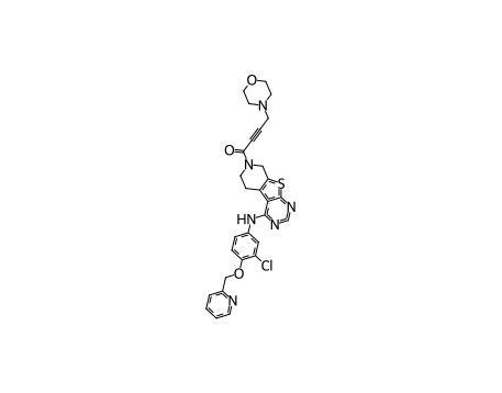 O=C(C#CCN1CCOCC1)N1CCc2c(sc3ncnc(Nc4ccc(OCc5ccccn5)c(Cl)c4)c23)C1